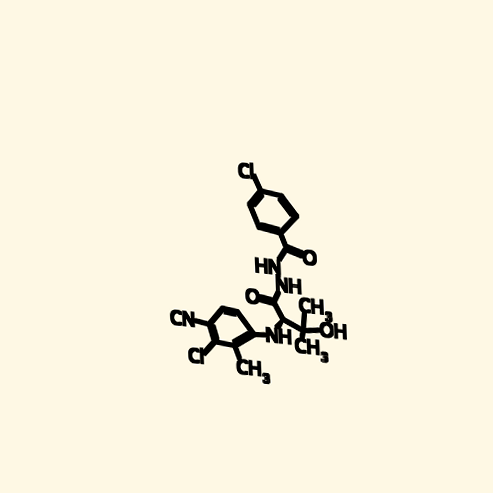 [C-]#[N+]c1ccc(N[C@@H](C(=O)NNC(=O)c2ccc(Cl)cc2)C(C)(C)O)c(C)c1Cl